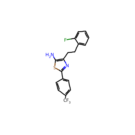 Nc1sc(-c2ccc(C(F)(F)F)cc2)nc1CCc1ccccc1F